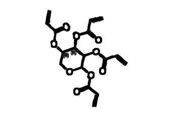 C=CC(=O)OC1OC[C@@H](OC(=O)C=C)[C@@H](OC(=O)C=C)C1OC(=O)C=C